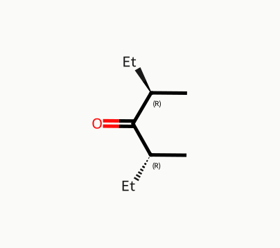 CC[C@@H](C)C(=O)[C@H](C)CC